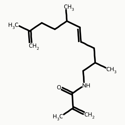 C=C(C)CCC(C)/C=C/CC(C)CNC(=O)C(=C)C